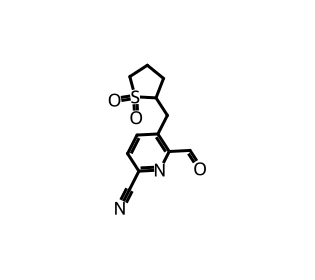 N#Cc1ccc(CC2CCCS2(=O)=O)c(C=O)n1